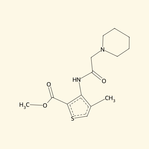 COC(=O)c1scc(C)c1NC(=O)CN1CCCCC1